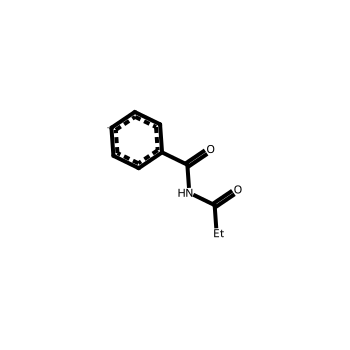 CCC(=O)NC(=O)c1cc[c]cc1